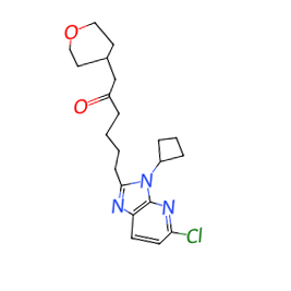 O=C(CCCCc1nc2ccc(Cl)nc2n1C1CCC1)CC1CCOCC1